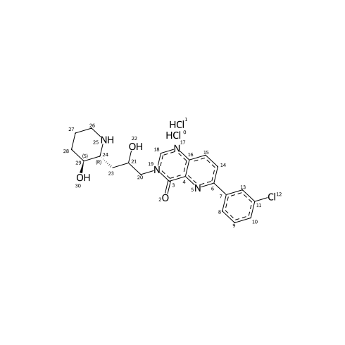 Cl.Cl.O=c1c2nc(-c3cccc(Cl)c3)ccc2ncn1CC(O)C[C@H]1NCCC[C@@H]1O